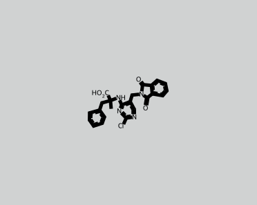 CC(Cc1ccccc1)(Nc1nc(Cl)ncc1CN1C(=O)c2ccccc2C1=O)C(=O)O